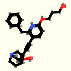 OCCCOc1ccc(C#C[C@@]2(O)CN3CCC2CC3)c(Cc2ccccc2)n1